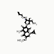 C=CCO/N=C1\CN(c2c(F)c(N)c3c(=O)c(OC(=O)O)cn(C4CC4)c3c2F)CC1(C)CN